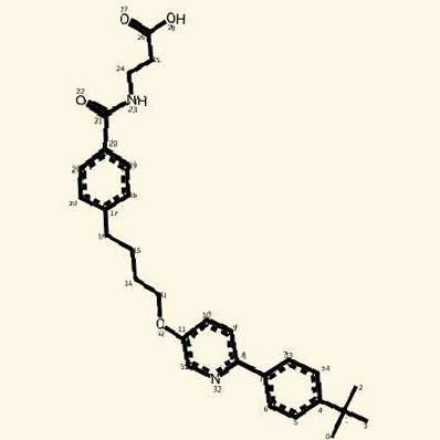 CC(C)(C)c1ccc(-c2ccc(OCCCCc3ccc(C(=O)NCCC(=O)O)cc3)cn2)cc1